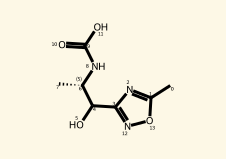 Cc1nc(C(O)[C@H](C)NC(=O)O)no1